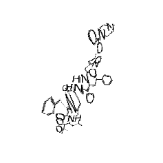 CC(C)C[C@H](NC(=O)[C@H](Cc1ccccc1)N1C(=O)[C@@H](NC(=O)[C@H](CCc2ccccc2)NC(=O)Cc2cc(COC(=O)N3CCN(C)CC3)on2)CC1C)C(=O)C1(C)CO1